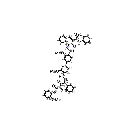 COc1cc(-c2ccc(N/N=C3\C(=O)C(C(=O)Nc4ccccc4OC)=Cc4ccccc43)c(OC)c2)ccc1N/N=C1\C(=O)C(C(=O)Nc2ccccc2OC)=Cc2ccccc21